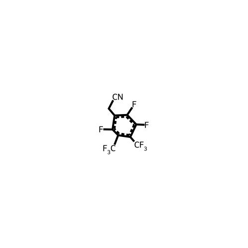 N#CCc1c(F)c(F)c(C(F)(F)F)c(C(F)(F)F)c1F